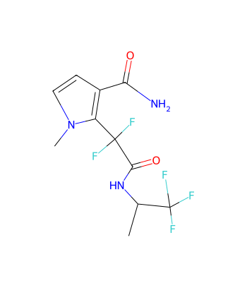 CC(NC(=O)C(F)(F)c1c(C(N)=O)ccn1C)C(F)(F)F